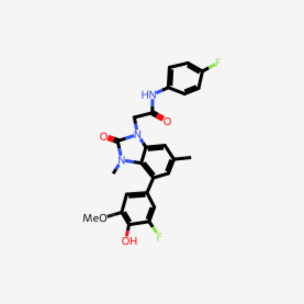 COc1cc(-c2cc(C)cc3c2n(C)c(=O)n3CC(=O)Nc2ccc(F)cc2)cc(F)c1O